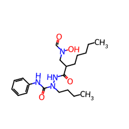 CCCCCC(CN(O)C=O)C(=O)NN(CCCC)C(=O)Nc1ccccc1